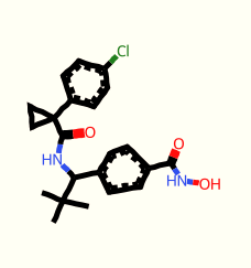 CC(C)(C)C(NC(=O)C1(c2ccc(Cl)cc2)CC1)c1ccc(C(=O)NO)cc1